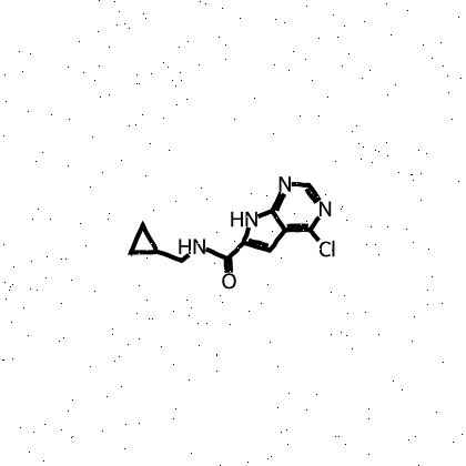 O=C(NCC1CC1)c1cc2c(Cl)ncnc2[nH]1